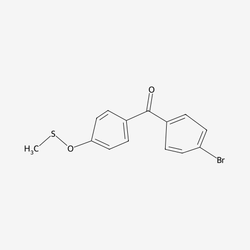 CSOc1ccc(C(=O)c2ccc(Br)cc2)cc1